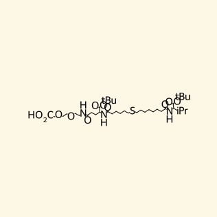 CC(C)C(NC(=O)CCCCCCCSCCCCCC(=O)NC(CCC(=O)NCCOCCOCC(=O)O)C(=O)OC(C)(C)C)C(=O)OC(C)(C)C